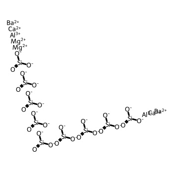 O=[Si]([O-])[O-].O=[Si]([O-])[O-].O=[Si]([O-])[O-].O=[Si]([O-])[O-].O=[Si]([O-])[O-].O=[Si]([O-])[O-].O=[Si]([O-])[O-].O=[Si]([O-])[O-].O=[Si]([O-])[O-].[Al+3].[Al+3].[Ba+2].[Ba+2].[Ca+2].[Ca+2].[Mg+2].[Mg+2]